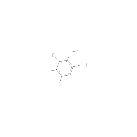 COc1c(C)cc(C)c(I)c1F